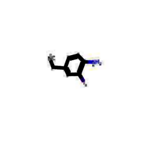 [C-]#[N+]Cc1ccc(N)c(I)c1